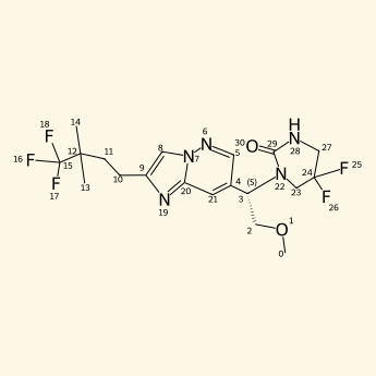 COC[C@H](c1cnn2cc(CCC(C)(C)C(F)(F)F)nc2c1)N1CC(F)(F)CNC1=O